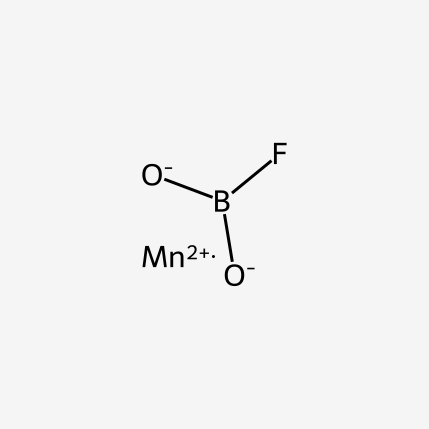 [Mn+2].[O-]B([O-])F